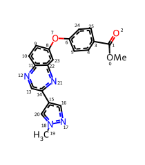 COC(=O)c1ccc(Oc2ccc3ncc(-c4cnn(C)c4)nc3c2)cc1